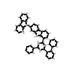 c1ccc(-c2nc(-c3ccccc3-c3ccccc3)nc(-c3cccc4c3sc3cc(-n5c6ccccc6c6cccnc65)ccc34)n2)cc1